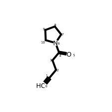 C#CCCC(=O)N1CCCC1